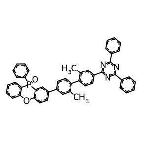 Cc1cc(-c2ccc3c(c2)P(=O)(c2ccccc2)c2ccccc2O3)ccc1-c1ccc(-c2nc(-c3ccccc3)nc(-c3ccccc3)n2)cc1C